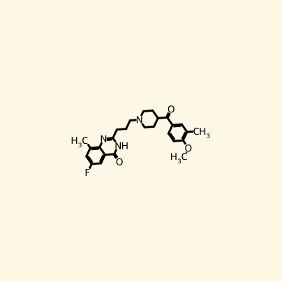 COc1ccc(C(=O)C2CCN(CCCc3nc4c(C)cc(F)cc4c(=O)[nH]3)CC2)cc1C